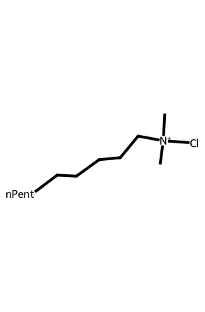 CCCCCCCCCC[N+](C)(C)Cl